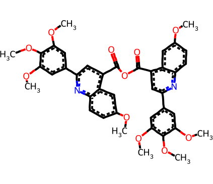 COc1ccc2nc(-c3cc(OC)c(OC)c(OC)c3)cc(C(=O)OC(=O)c3cc(-c4cc(OC)c(OC)c(OC)c4)nc4ccc(OC)cc34)c2c1